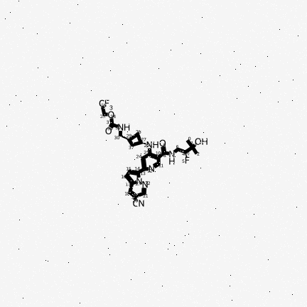 CC(C)(O)[C@H](F)CNC(=O)c1cnc(-c2ccc3cc(C#N)cnn23)cc1N[C@H]1C[C@H](CNC(=O)OCC(F)(F)F)C1